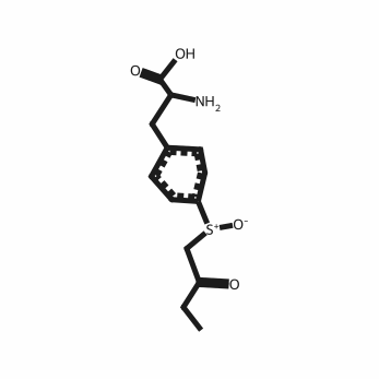 CCC(=O)C[S+]([O-])c1ccc(CC(N)C(=O)O)cc1